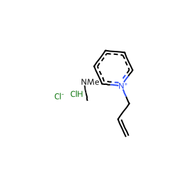 C=CC[n+]1ccccc1.CNC.Cl.[Cl-]